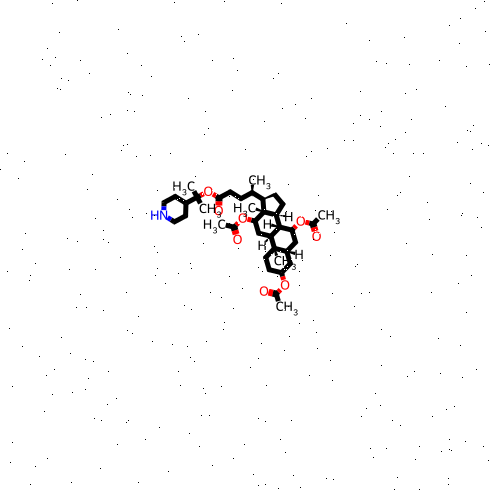 CC(=O)OC1CC[C@@]2(C)[C@@H](C1)CC(OC(C)=O)[C@@H]1[C@@H]2CC(OC(C)=O)[C@]2(C)[C@@H]([C@H](C)CCC(=O)OC(C)(C)C3CCNCC3)CC[C@@H]12